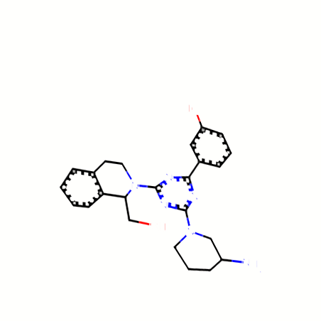 NC1CCCN(c2nc(-c3cccc(O)c3)nc(N3CCc4ccccc4C3CO)n2)C1